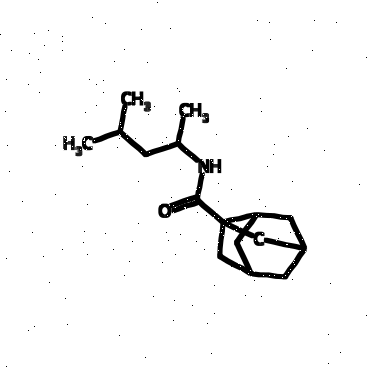 CC(C)CC(C)NC(=O)C12CC3CC(CC1C3)C2